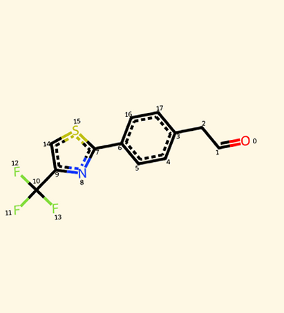 O=CCc1ccc(-c2nc(C(F)(F)F)cs2)cc1